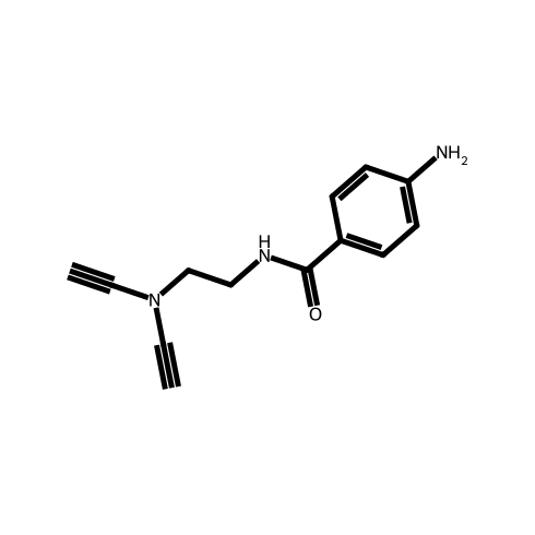 C#CN(C#C)CCNC(=O)c1ccc(N)cc1